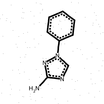 Nc1ncn(-c2ccccc2)n1